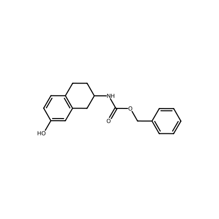 O=C(NC1CCc2ccc(O)cc2C1)OCc1ccccc1